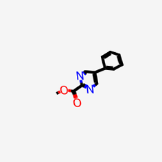 COC(=O)c1ncc(-c2ccccc2)cn1